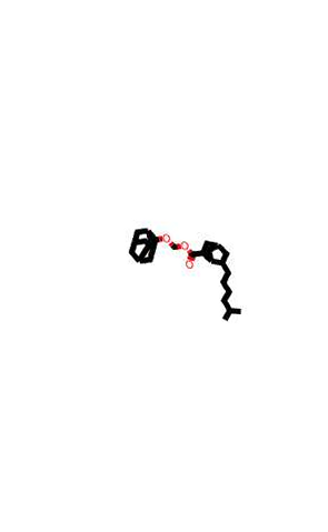 CC(C)CCCCC1CC2CC(C(=O)OCOC3C4CC5CC(C4)CC3C5)C1C2